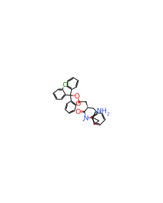 CN(C(=O)[C@@H](CC(=O)OC(c1ccccc1)(c1ccccc1)c1ccccc1Cl)Cc1ccccc1)C1(CN)CC1